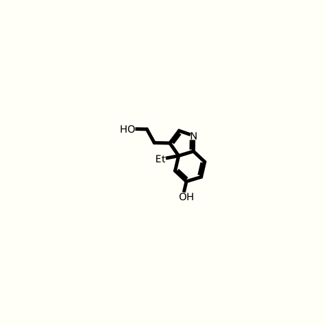 CCC12C=C(O)C=CC1=NC=C2CCO